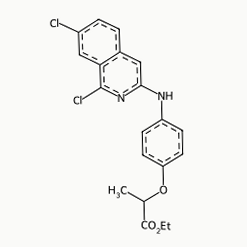 CCOC(=O)C(C)Oc1ccc(Nc2cc3ccc(Cl)cc3c(Cl)n2)cc1